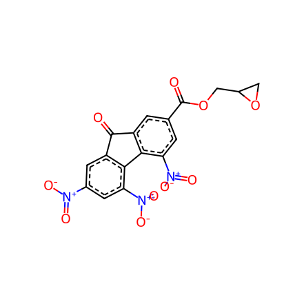 O=C(OCC1CO1)c1cc2c(c([N+](=O)[O-])c1)-c1c(cc([N+](=O)[O-])cc1[N+](=O)[O-])C2=O